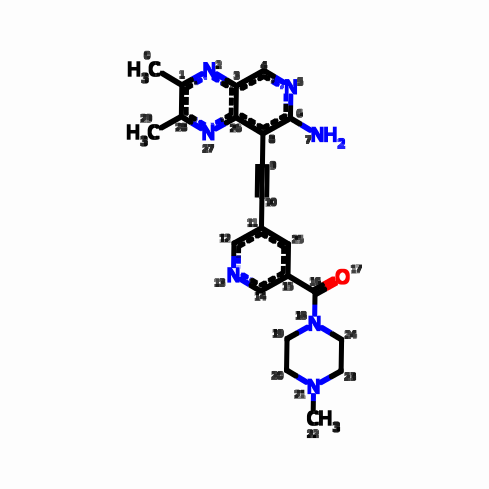 Cc1nc2cnc(N)c(C#Cc3cncc(C(=O)N4CCN(C)CC4)c3)c2nc1C